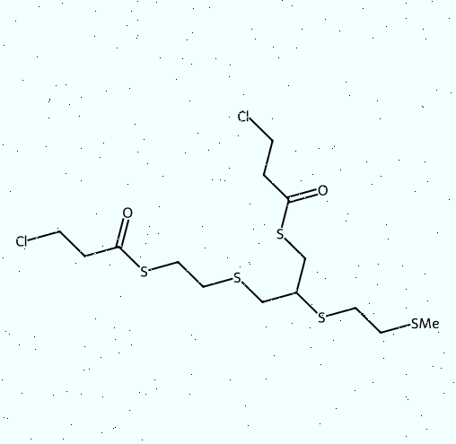 CSCCSC(CSCCSC(=O)CCCl)CSC(=O)CCCl